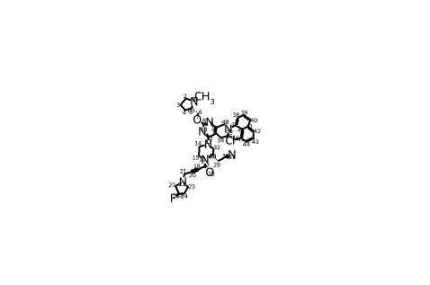 CN1CCC[C@H]1COc1nc2c(c(N3CCN(C(=O)C#CCN4CCC(F)C4)[C@@H](CC#N)C3)n1)CCN(c1cccc3cccc(Cl)c13)C2